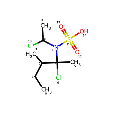 CCC(C)C(C)(Cl)N(C(C)Cl)S(=O)(=O)O